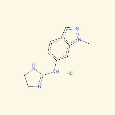 Cl.Cn1ncc2ccc(NC3=NCCN3)cc21